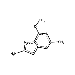 COc1nc(C)cn2cc(N)nc12